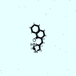 O=C1C2=C(CCCC2)CCC1CC1CN=CN1